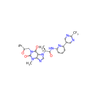 CC(C)C(=O)Cn1c(=O)c2c(ncn2[C@@H](C)C(=O)Nc2cccc(-c3cnc(C(F)(F)F)nc3)n2)n(C)c1=O